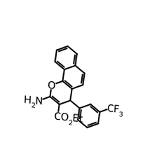 CCOC(=O)C1=C(N)Oc2c(ccc3ccccc23)C1c1cccc(C(F)(F)F)c1